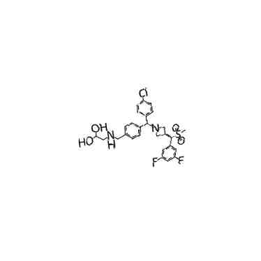 CS(=O)(=O)C(=C1CN(C(c2ccc(Cl)cc2)c2ccc(CNCC(O)O)cc2)C1)c1cc(F)cc(F)c1